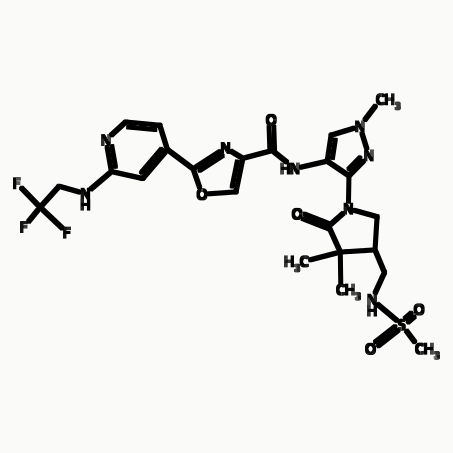 Cn1cc(NC(=O)c2coc(-c3ccnc(NCC(F)(F)F)c3)n2)c(N2CC(CNS(C)(=O)=O)C(C)(C)C2=O)n1